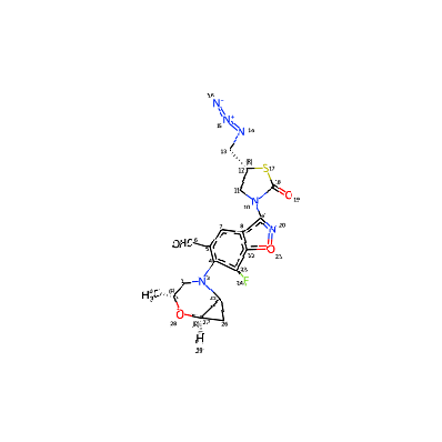 C[C@@H]1CN(c2c(C=O)cc3c(N4C[C@H](CN=[N+]=[N-])SC4=O)noc3c2F)C2C[C@H]2O1